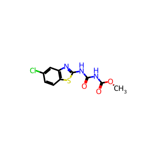 COC(=O)NC(=O)Nc1nc2cc(Cl)ccc2s1